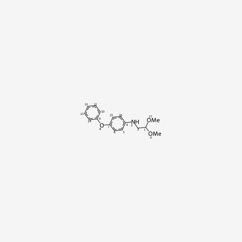 COC(CNc1ccc(Oc2ccccc2)cc1)OC